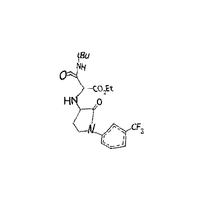 CCOC(=O)C(NC1CCN(c2cccc(C(F)(F)F)c2)C1=O)C(=O)NC(C)(C)C